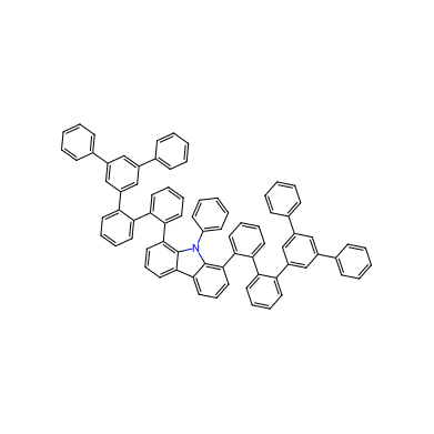 c1ccc(-c2cc(-c3ccccc3)cc(-c3ccccc3-c3ccccc3-c3cccc4c5cccc(-c6ccccc6-c6ccccc6-c6cc(-c7ccccc7)cc(-c7ccccc7)c6)c5n(-c5ccccc5)c34)c2)cc1